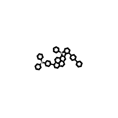 c1ccc(-c2ccc(-c3cccc4c3c3cc5ccc6ccc(-c7ccc(N(c8ccccc8)c8ccccc8)cc7)c7ccc(c5c67)c3n4-c3ccccc3)cc2)cc1